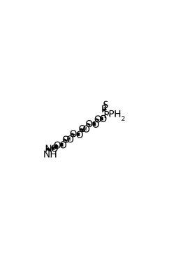 N=NOOOOOOOOOOOOOP(P)P=S